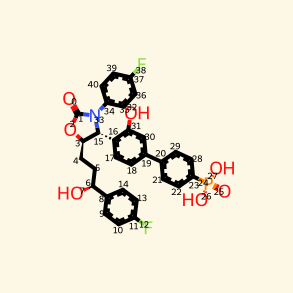 O=C1O[C@H](CC[C@H](O)c2ccc(F)cc2)[C@@H](c2ccc(-c3ccc(P(=O)(O)O)cc3)cc2O)N1c1ccc(F)cc1